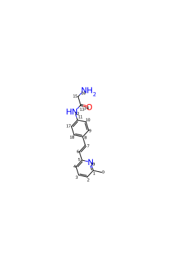 Cc1cccc(C=Cc2ccc(NC(=O)CN)cc2)n1